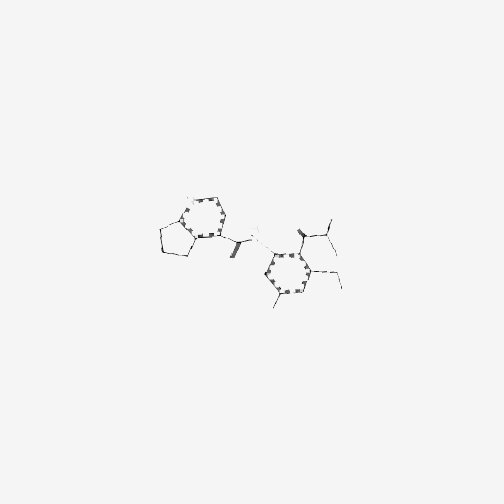 CCc1cc(C)cc(NC(=O)c2ccnc3c2CCC3)c1C(=O)C(C)C